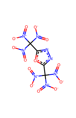 O=[N+]([O-])C(c1nnc(C([N+](=O)[O-])([N+](=O)[O-])[N+](=O)[O-])o1)([N+](=O)[O-])[N+](=O)[O-]